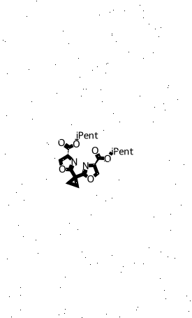 CCCC(C)OC(=O)[C@H]1COC(C2(C3=N[C@@H](C(=O)OC(C)CCC)CO3)CC2)=N1